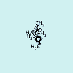 C=Cc1ccc([Si](C)(C)C(C)C(=O)OCC)cc1